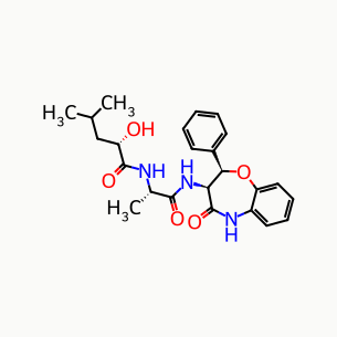 CC(C)C[C@H](O)C(=O)N[C@@H](C)C(=O)N[C@@H]1C(=O)Nc2ccccc2O[C@@H]1c1ccccc1